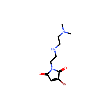 CN(C)CCNCCN1C(=O)C=C(Br)C1=O